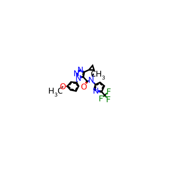 COc1cccc(-n2nnc(C3CC3)c2C(=O)N(C)c2ccc(C(F)(F)F)nc2)c1